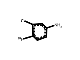 Nc1ccc([18F])c(Cl)c1